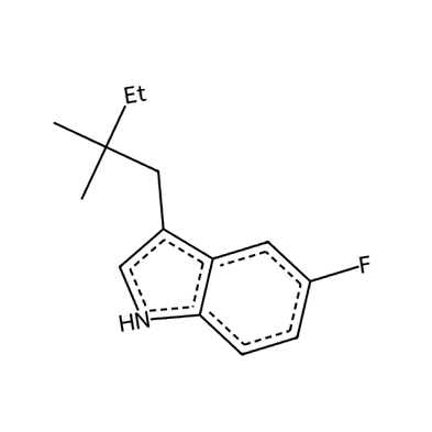 CCC(C)(C)Cc1c[nH]c2ccc(F)cc12